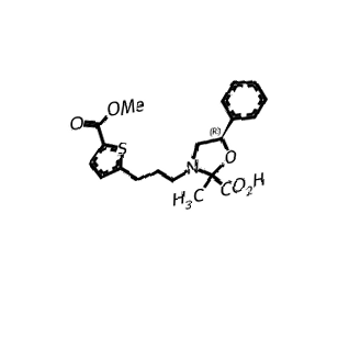 COC(=O)c1ccc(CCCN2C[C@@H](c3ccccc3)OC2(C)C(=O)O)s1